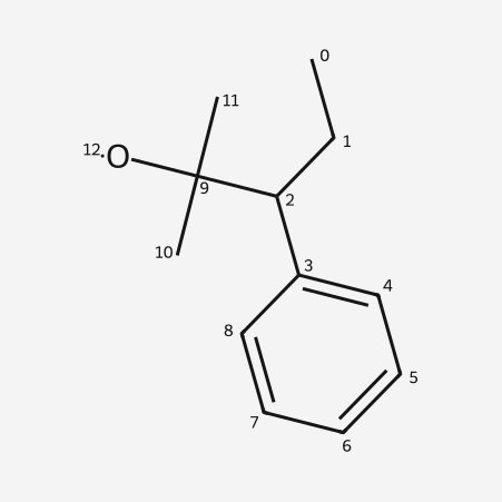 CCC(c1ccccc1)C(C)(C)[O]